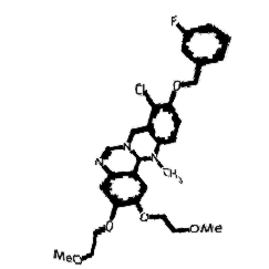 COCCOc1cc2c(cc1OCCOC)C1N(C=N2)Cc2c(ccc(OCc3cccc(F)c3)c2Cl)N1C